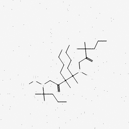 BBN(CC(=O)C(C)(CCCC)C(C)(CCCC)N(B)CC(=O)C(C)(O)CCC)C(C)(O)CCC